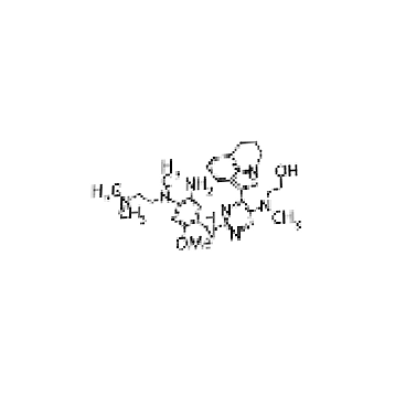 COc1cc(N(C)CCN(C)C)c(N)cc1Nc1ncc(N(C)CCO)c(-c2cn3c4c(cccc24)CCC3)n1